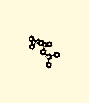 c1ccc(-c2cc(-c3ccccc3)nc(-c3cccc(-n4c5ccccc5c5cc6cc7c8ccccc8c8ccccc8n7c6cc54)c3)c2)cc1